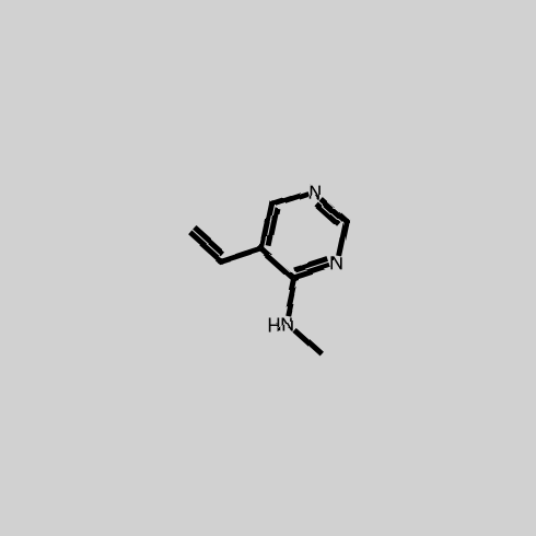 C=Cc1cncnc1NC